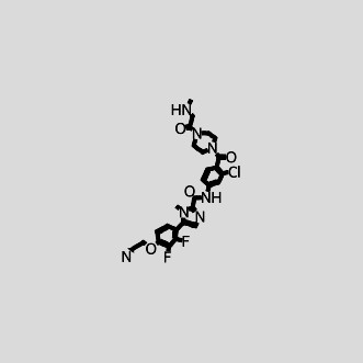 CNCC(=O)N1CCN(C(=O)c2ccc(NC(=O)c3ncc(-c4ccc(OCC#N)c(F)c4F)n3C)cc2Cl)CC1